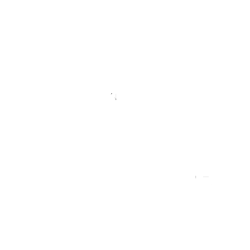 C=CC=CC=Nc1ccccc1